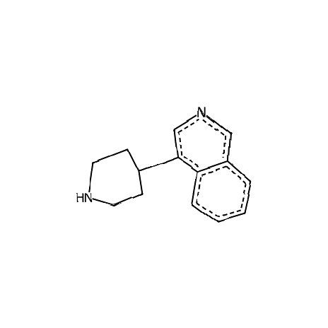 c1ccc2c(C3CCNCC3)cncc2c1